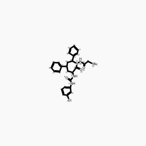 CCc1cccc(NC(=O)NC2CC(c3ccccc3)CC(c3ccccc3)N(NC(=O)CC(C)(C)C)C2=O)c1